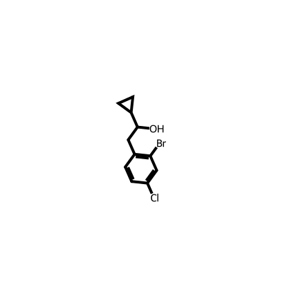 OC(Cc1ccc(Cl)cc1Br)C1CC1